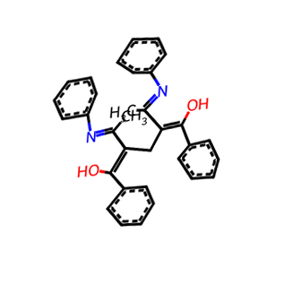 CC(=N\c1ccccc1)/C(CC(=C(/O)c1ccccc1)/C(C)=N/c1ccccc1)=C(\O)c1ccccc1